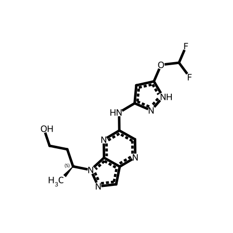 C[C@@H](CCO)n1ncc2ncc(Nc3cc(OC(F)F)[nH]n3)nc21